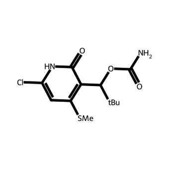 CSc1cc(Cl)[nH]c(=O)c1C(OC(N)=O)C(C)(C)C